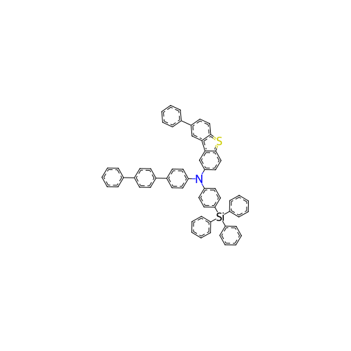 c1ccc(-c2ccc(-c3ccc(N(c4ccc([Si](c5ccccc5)(c5ccccc5)c5ccccc5)cc4)c4ccc5sc6ccc(-c7ccccc7)cc6c5c4)cc3)cc2)cc1